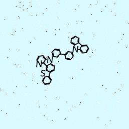 c1cc(-c2cccc(-n3c4cccnc4c4c5sc6ccccc6c5ccc43)c2)cc(-n2c3ccccc3c3ccccc32)c1